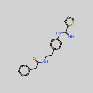 N=C(Nc1ccc(CCNC(=O)Cc2ccccc2)cc1)c1cccs1